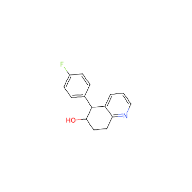 OC1CCc2ncccc2C1c1ccc(F)cc1